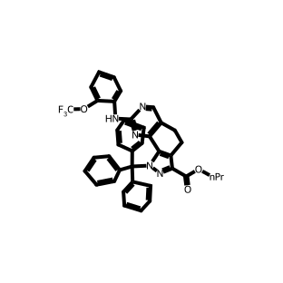 CCCOC(=O)c1nn(C(c2ccccc2)(c2ccccc2)c2ccccc2)c2c1CCc1cnc(Nc3ccccc3OC(F)(F)F)nc1-2